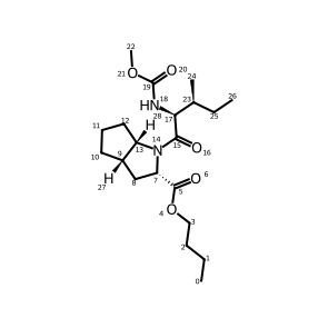 CCCCOC(=O)[C@@H]1C[C@@H]2CCC[C@@H]2N1C(=O)[C@@H](NC(=O)OC)[C@@H](C)CC